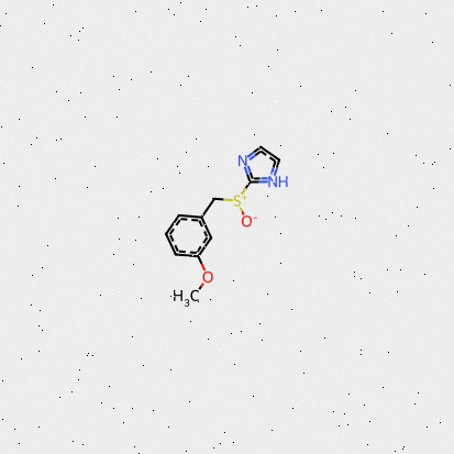 COc1cccc(C[S+]([O-])c2ncc[nH]2)c1